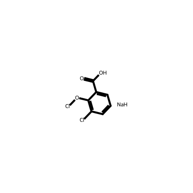 O=C(O)c1cccc(Cl)c1OCl.[NaH]